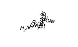 CCN(CCN(NC)C(=O)NCc1cc(C)on1)c1ccc(N2C[C@H](CN)OC2=O)cc1F